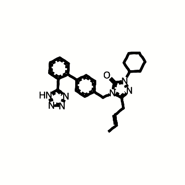 C/C=C/Cc1nn(C2CCCCC2)c(=O)n1Cc1ccc(-c2ccccc2-c2nnn[nH]2)cc1